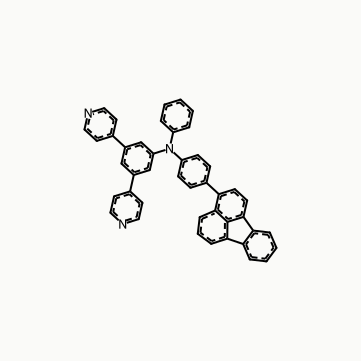 c1ccc(N(c2ccc(-c3ccc4c5c(cccc35)-c3ccccc3-4)cc2)c2cc(-c3ccncc3)cc(-c3ccncc3)c2)cc1